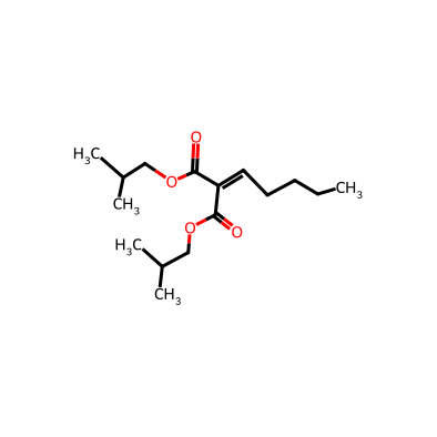 CCCCC=C(C(=O)OCC(C)C)C(=O)OCC(C)C